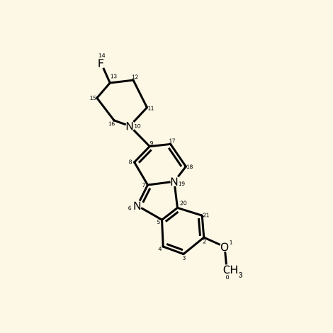 COc1ccc2nc3cc(N4CCC(F)CC4)ccn3c2c1